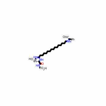 CC(C)C(C=O)NCCCCCCCCCCCCCCCC(NC(=O)O)N[C@H](C(=O)NC(=O)O)C(C)C